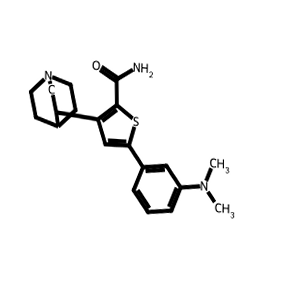 CN(C)c1cccc(-c2cc(C3CN4CCC3CC4)c(C(N)=O)s2)c1